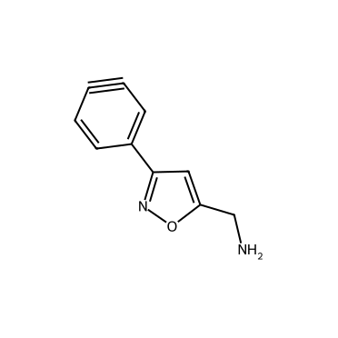 NCc1cc(-c2cc#ccc2)no1